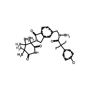 BN(Cc1ccc2c(c1)CN(C1(B)C(=O)NC(=O)C(B)(B)C1(B)B)C2=O)C(=O)C(F)(F)c1ccc(Cl)cc1